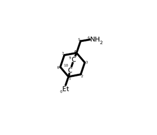 CCC12CCC(CN)(CC1)CC2